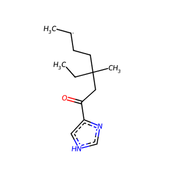 C[CH]CCC(C)(CC)CC(=O)c1c[nH]cn1